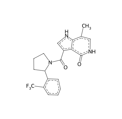 Cc1c[nH]c(=O)c2c(C(=O)N3CCCC3c3ccccc3C(F)(F)F)c[nH]c12